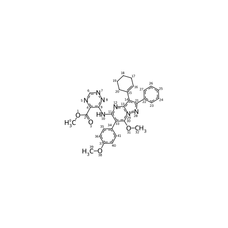 COC(=O)c1ncnnc1Nc1nc2c(C3=CCCCC3)c(-c3ccccc3)nn2c(OC)c1-c1ccc(OC)cc1